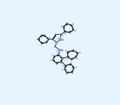 C1=C(c2ccccc2)N(CNc2cccc(-c3ccccc3)c2-c2ccccc2)NC1c1ccccc1